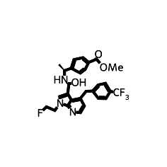 COC(=O)c1ccc([C@H](C)NC(O)c2cn(CCF)c3nccc(Cc4ccc(C(F)(F)F)cc4)c23)cc1